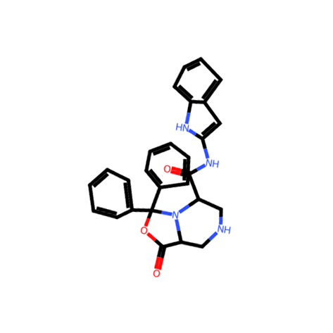 O=C(Nc1cc2ccccc2[nH]1)C1CNCC2C(=O)OC(c3ccccc3)(c3ccccc3)N12